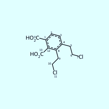 O=C(O)c1ccc(CCCl)c(CCCl)c1C(=O)O